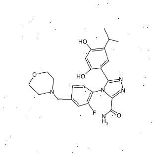 CC(C)c1cc(-c2nnc(C(N)=O)n2-c2ccc(CN3CCOCC3)cc2F)c(O)cc1O